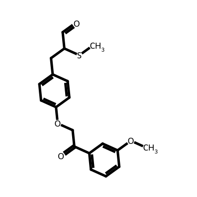 COc1cccc(C(=O)COc2ccc(CC(C=O)SC)cc2)c1